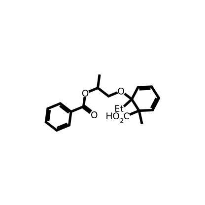 CCC1(OCC(C)OC(=O)c2ccccc2)C=CC=CC1(C)C(=O)O